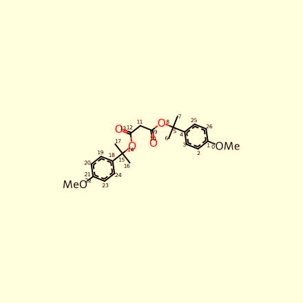 COc1ccc(C(C)(C)OC(=O)CC(=O)OC(C)(C)c2ccc(OC)cc2)cc1